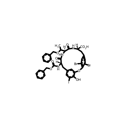 CC(OCc1ccccc1)[C@@H]1NC(=O)[C@@H](NC(=O)OCc2ccccc2)Cc2cc(I)c(O)c(c2)Oc2c(Br)cc(cc2Br)C[C@@H](C(=O)O)NC1=O